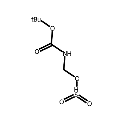 CC(C)(C)OC(=O)NCO[SH](=O)=O